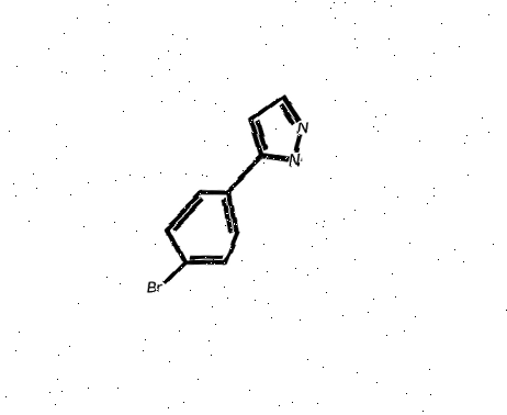 Brc1ccc(C2=CC=N[N]2)cc1